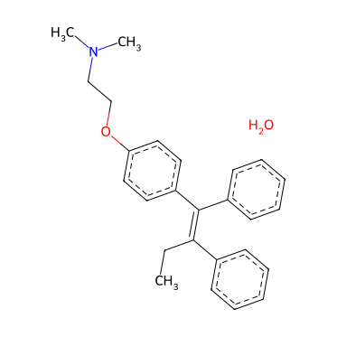 CCC(=C(c1ccccc1)c1ccc(OCCN(C)C)cc1)c1ccccc1.O